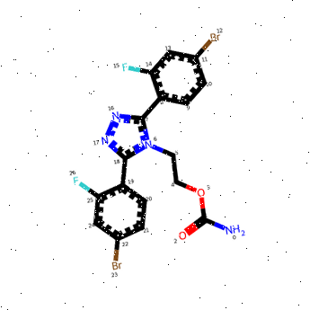 NC(=O)OCCn1c(-c2ccc(Br)cc2F)nnc1-c1ccc(Br)cc1F